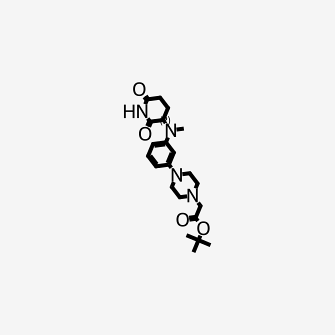 CN(c1cccc(N2CCN(CC(=O)OC(C)(C)C)CC2)c1)[C@@H]1CCC(=O)NC1=O